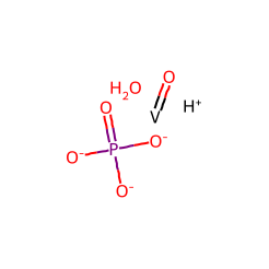 O.O=P([O-])([O-])[O-].[H+].[O]=[V]